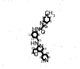 CN1CCc2sc(C(=O)Nc3cccc(CNc4ncc(-c5ccncc5)c5c4CCO5)c3)nc2C1